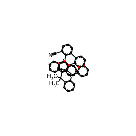 CC1(C)c2ccccc2N(c2ccccc2)c2c(-c3ccccc3-c3cccc(C#N)c3-n3c4ccccc4c4ccccc43)cccc21